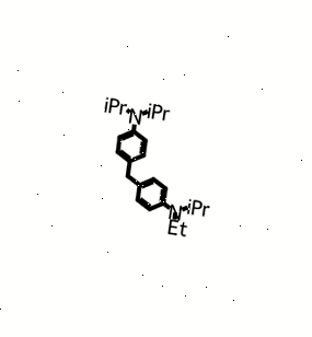 CCN(c1ccc(Cc2ccc(N(C(C)C)C(C)C)cc2)cc1)C(C)C